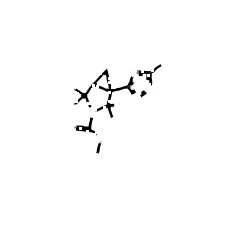 [2H]C1([2H])C2CC2(c2nc(C)no2)C([2H])([2H])N1C(=O)OC(C)(C)C